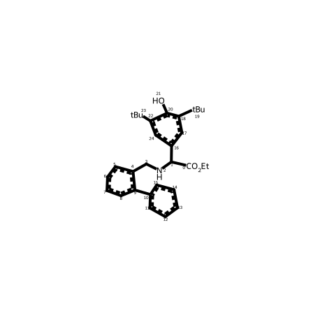 CCOC(=O)C(NCc1ccccc1-c1ccccc1)c1cc(C(C)(C)C)c(O)c(C(C)(C)C)c1